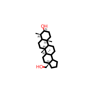 C[C@@H]1C2CC[C@]3(C)C(CCC4C5CCC[C@]5(CO)CC[C@]43C)[C@@]2(C)CC[C@@H]1O